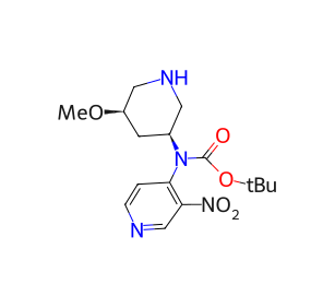 CO[C@H]1CNC[C@@H](N(C(=O)OC(C)(C)C)c2ccncc2[N+](=O)[O-])C1